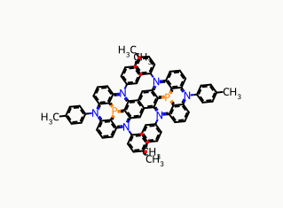 Cc1ccc(-n2c3cccc4c3p3c5c2cccc5n(-c2ccc(C)cc2)c2c5cc6c7c(c5cc(c23)n4-c2ccc(C)cc2)n(-c2ccc(C)cc2)c2cccc3c2p7c2c(cccc2n6-c2ccc(C)cc2)n3-c2ccc(C)cc2)cc1